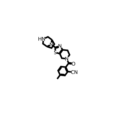 Cc1ccc(C(=O)N2CCc3nc(N4C5CCC4CNC5)sc3C2)c(C#N)c1